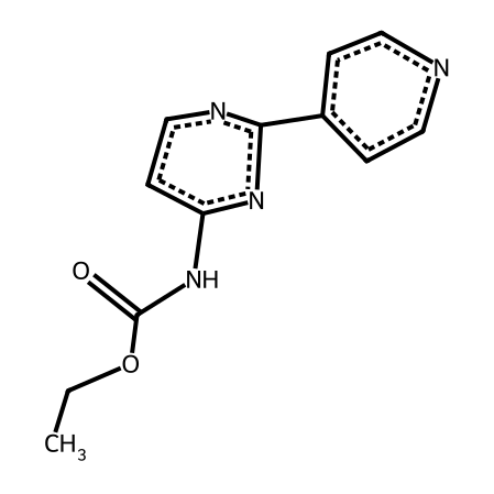 CCOC(=O)Nc1ccnc(-c2ccncc2)n1